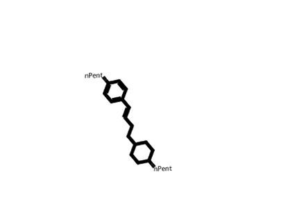 CCCCCc1ccc(C=CCCC2CCC(CCCCC)CC2)cc1